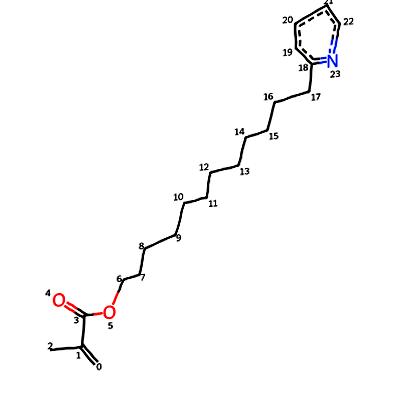 C=C(C)C(=O)OCCCCCCCCCCCCc1ccccn1